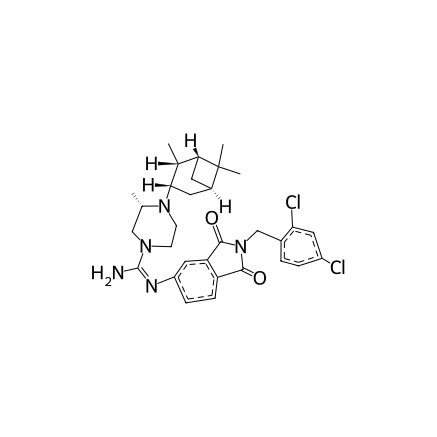 C[C@@H]1[C@H]2C[C@H](C[C@@H]1N1CCN(C(N)=Nc3ccc4c(c3)C(=O)N(Cc3ccc(Cl)cc3Cl)C4=O)C[C@@H]1C)C2(C)C